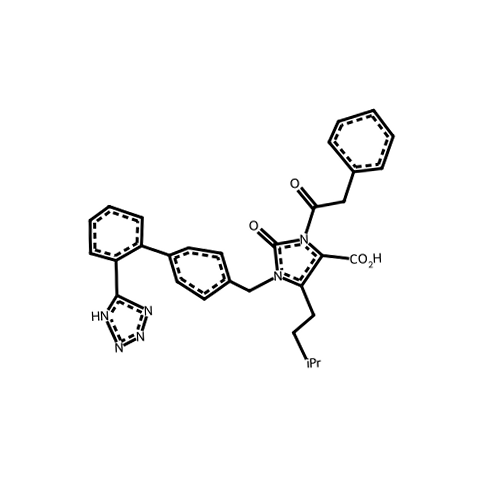 CC(C)CCc1c(C(=O)O)n(C(=O)Cc2ccccc2)c(=O)n1Cc1ccc(-c2ccccc2-c2nnn[nH]2)cc1